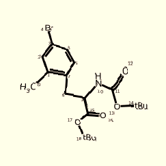 Cc1cc(Br)ccc1CC(NC(=O)OC(C)(C)C)C(=O)OC(C)(C)C